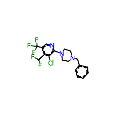 FC(F)c1c(C(F)(F)F)cnc(N2CCN(Cc3ccccc3)CC2)c1Cl